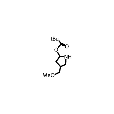 COCC1CNC(OC(=O)C(C)(C)C)C1